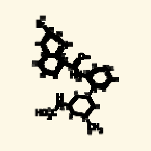 C[C@@H]1C[C@H](NC(=O)O)C[C@H](c2ccncc2NC(=O)c2cccc3cc(Br)cnc23)C1